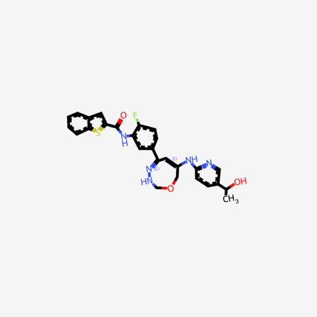 CC(O)c1ccc(N/C2=C/C(c3ccc(F)c(NC(=O)c4cc5ccccc5s4)c3)=N\NCOC2)nc1